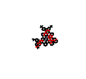 CC(C)(C)C1=C=C=c2c(c3cc(C(C)(C)C)ccc3n2-c2ccc3c(c2)N(c2c(-c4cccc(C5=CC=CCC5)c4)cccc2-c2cccc(-c4ccccc4)c2)c2cc(-n4c5ccccc5c5ccccc54)cc4c2B3c2ccc(-n3c5ccc(C(C)(C)C)cc5c5cc(C(C)(C)C)ccc53)cc2N4c2c(-c3cccc(-c4ccccc4)c3)cccc2-c2cccc(-c3ccccc3)c2)=C1